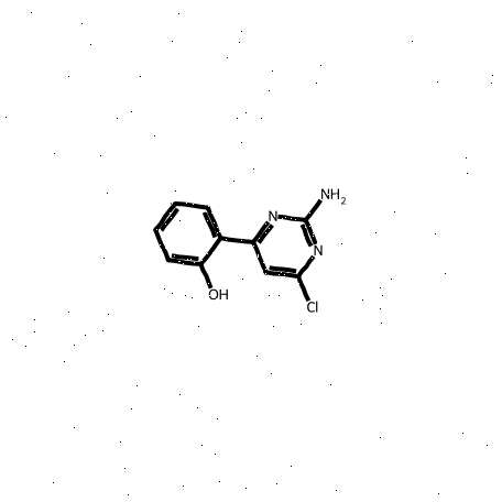 Nc1nc(Cl)cc(-c2c[c]ccc2O)n1